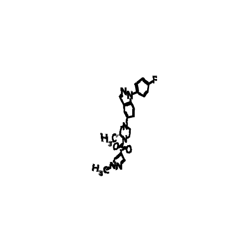 C[C@@H]1CN(c2ccc3c(cnn3-c3ccc(F)cc3)c2)CCN1S(=O)(=O)c1cnn(C)c1